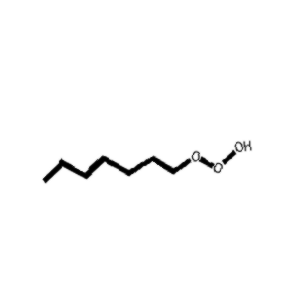 C[CH]CCCCCOOO